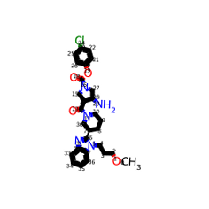 COCCCn1c([C@@H]2CCCN(C(=O)C3CN(C(=O)Oc4ccc(Cl)cc4)CC3N)C2)nc2ccccc21